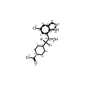 CCC(=O)N1CCC(C(F)(F)[C@H](O)c2cc(Cl)cc3cn[nH]c23)CC1